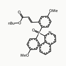 CCCCOC(=O)C=Cc1cc(OC)ccc1P(=O)(c1ccc(OC)cc1)c1nccc2ccccc12